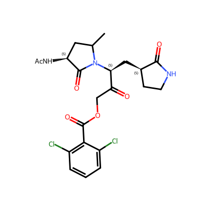 CC(=O)N[C@H]1CC(C)N([C@@H](C[C@@H]2CCNC2=O)C(=O)COC(=O)c2c(Cl)cccc2Cl)C1=O